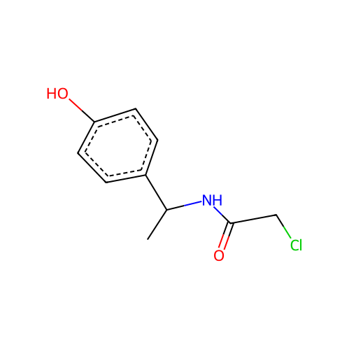 CC(NC(=O)CCl)c1ccc(O)cc1